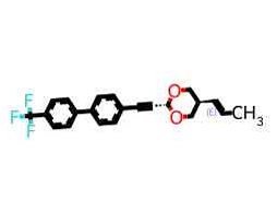 C/C=C/[C@H]1CO[C@H](C#Cc2ccc(-c3ccc(C(F)(F)F)cc3)cc2)OC1